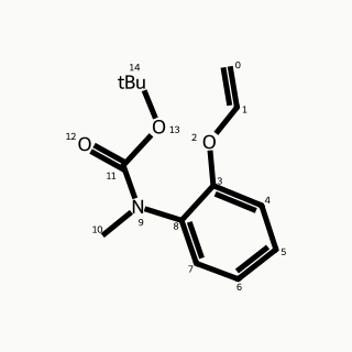 C=COc1ccccc1N(C)C(=O)OC(C)(C)C